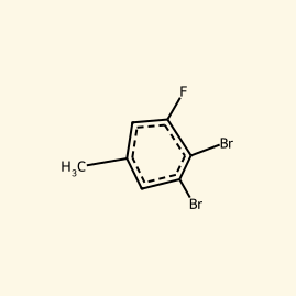 Cc1cc(F)c(Br)c(Br)c1